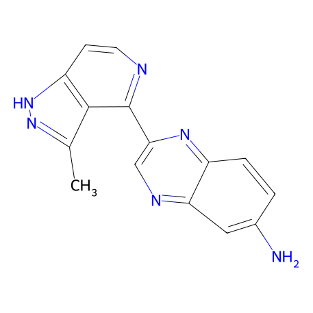 Cc1n[nH]c2ccnc(-c3cnc4cc(N)ccc4n3)c12